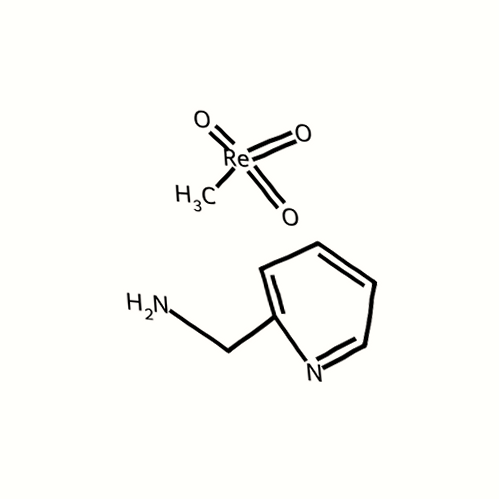 NCc1ccccn1.[CH3][Re](=[O])(=[O])=[O]